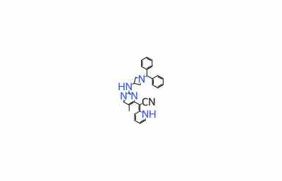 Cc1cnc(NC2CN(C(c3ccccc3)c3ccccc3)C2)nc1C(C#N)=C1C=CC=CN1